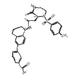 Cc1ccc(S(=O)(=O)N2CCNC(=O)[C@@H]2CC(=O)N[C@@H]2CCCc3cc(-c4cccc(C(=O)O)c4)ccc32)cc1